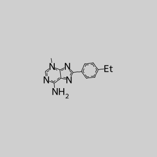 CCc1ccc(-c2nc3c(N)ncn(C)c-3n2)cc1